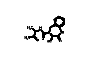 CCC(C)C1C(=O)Nc2ccccc2CN1C(=O)NC(C)C(N)=O